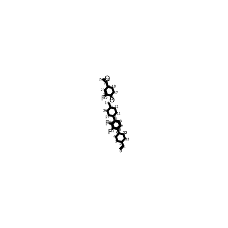 C=CC1CCC(c2ccc(C3CCC(COC4CCC(C5CO5)C=C4F)CC3)c(F)c2F)CC1